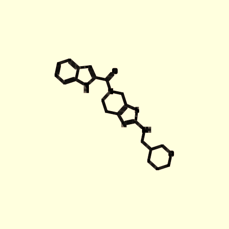 O=C(c1cc2ccccc2[nH]1)N1CCc2nc(NCC3CCCOC3)sc2C1